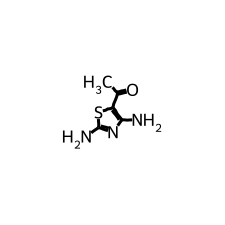 CC(=O)c1sc(N)nc1N